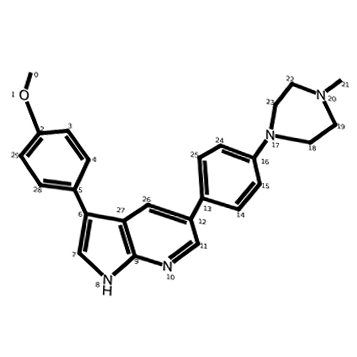 COc1ccc(-c2c[nH]c3ncc(-c4ccc(N5CCN(C)CC5)cc4)cc23)cc1